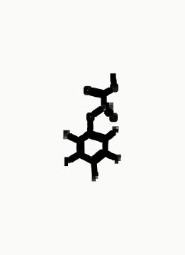 COC(=O)[PH](=O)Oc1c(F)c(F)c(F)c(F)c1F